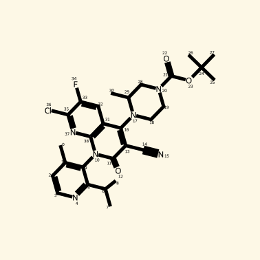 Cc1ccnc(C(C)C)c1-n1c(=O)c(C#N)c(N2CCN(C(=O)OC(C)(C)C)CC2C)c2cc(F)c(Cl)nc21